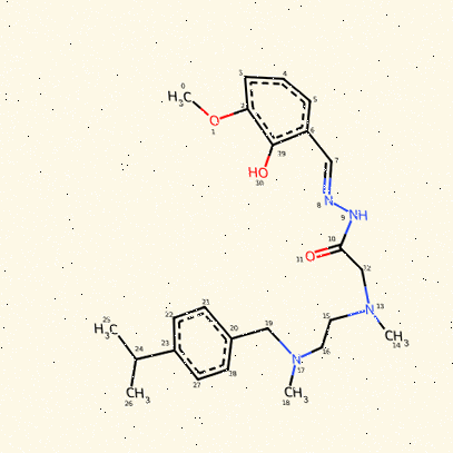 COc1cccc(/C=N/NC(=O)CN(C)CCN(C)Cc2ccc(C(C)C)cc2)c1O